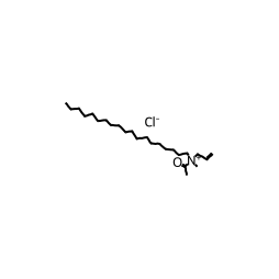 C=CC[N+](C)(CCCCCCCCCCCCCCCCCCC)C(C)=O.[Cl-]